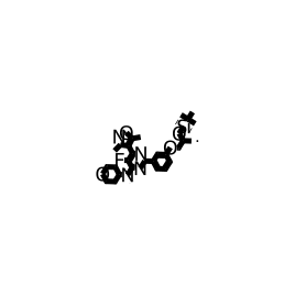 [CH2]C(COc1cccc(-c2nc(-c3c(C)noc3C)c(F)c(N(C)C3CCOCC3)n2)c1)O[Si](C)(C)C(C)(C)C